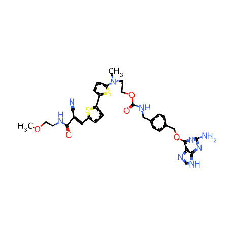 COCCNC(=O)/C(C#N)=C/c1ccc(-c2ccc(N(C)CCOC(=O)NCc3ccc(COc4nc(N)nc5[nH]cnc45)cc3)s2)s1